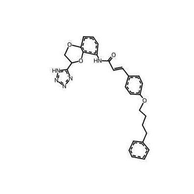 O=C(C=Cc1ccc(OCCCCc2ccccc2)cc1)Nc1cccc2c1OC(c1nnn[nH]1)CO2